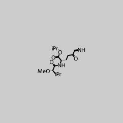 CO[C@H](C(=O)N[C@@H](CCC(=O)C=N)C(=O)OC(C)C)C(C)C